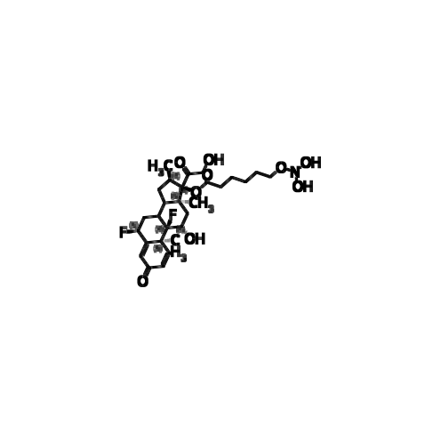 C[C@@H]1CC2C3C[C@H](F)C4=CC(=O)C=C[C@]4(C)[C@@]3(F)[C@@H](O)C[C@]2(C)[C@@]1(OC(=O)CCCCCON(O)O)C(=O)CO